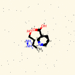 CCCCO.NN.O=C(O)c1cccnc1